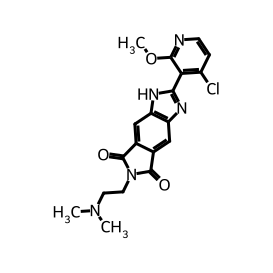 COc1nccc(Cl)c1-c1nc2cc3c(cc2[nH]1)C(=O)N(CCN(C)C)C3=O